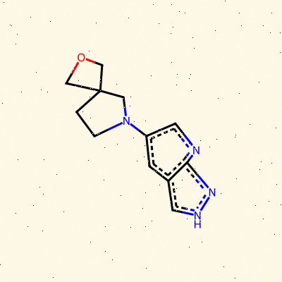 c1nc2n[nH]cc2cc1N1CCC2(COC2)C1